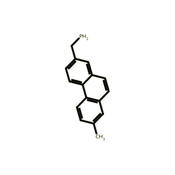 Cc1ccc2c(ccc3cc(CP)ccc32)c1